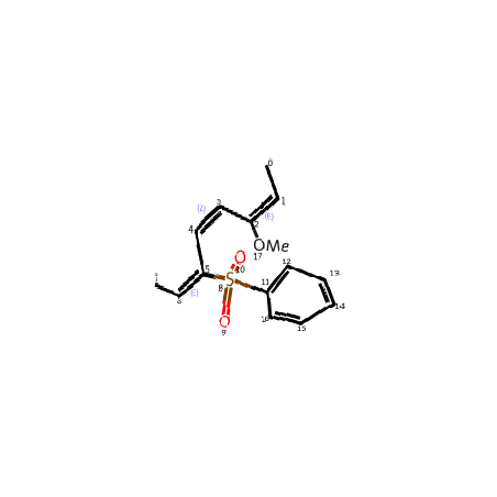 C\C=C(/C=C\C(=C/C)S(=O)(=O)c1ccccc1)OC